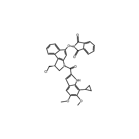 COc1cc2cc(C(=O)N3C[C@@H](CCl)c4c3cc(ON3C(=O)c5ccccc5C3=O)c3ccccc43)[nH]c2c(C2CC2)c1OC